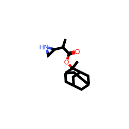 CC(C(=O)OC1(C)C2CC3CC(C2)CC1C3)C1CN1